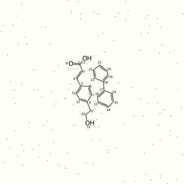 O=C(O)/C=C/c1ccc(CCO)cc1.c1ccc(-c2ccccc2)cc1